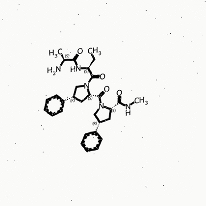 CC[C@H](NC(=O)[C@H](C)N)C(=O)N1C[C@@H](c2ccccc2)C[C@H]1C(=O)N1C[C@@H](c2ccccc2)C[C@H]1C(=O)NC